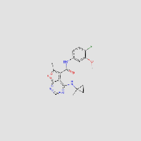 COc1cc(NC(=O)c2c(C)oc3ncnc(NC4(C)CC4)c23)ccc1F